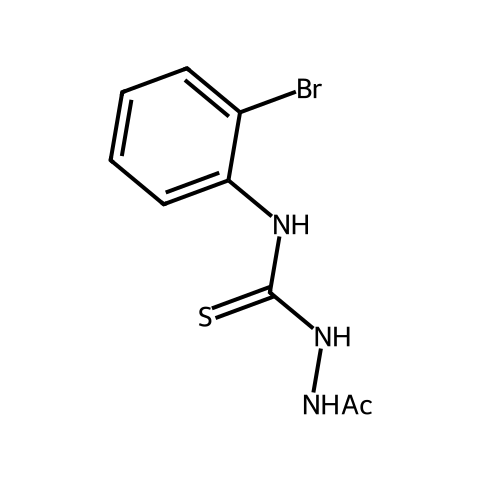 [CH2]C(=O)NNC(=S)Nc1ccccc1Br